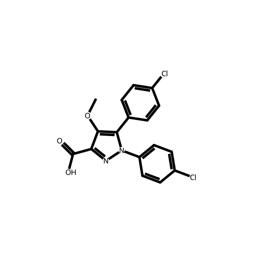 COc1c(C(=O)O)nn(-c2ccc(Cl)cc2)c1-c1ccc(Cl)cc1